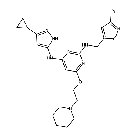 CC(C)c1cc(CNc2nc(Nc3cc(C4CC4)n[nH]3)cc(OCCN3CCCCC3)n2)on1